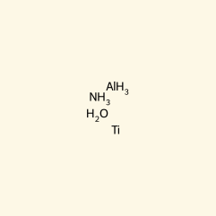 N.O.[AlH3].[Ti]